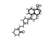 O=C1CCCCN1CCN1CCC(N2CCc3cnc(O)c4cccc2c34)C1